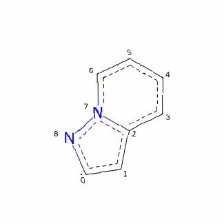 [c]1cc2ccccn2n1